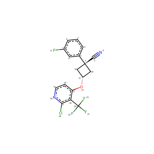 N#C[C@]1(c2cccc(F)c2)C[C@@H](Oc2ccnc(Cl)c2C(F)(F)F)C1